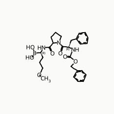 COCCC[C@H](NC(=O)C1CCCN1C(=O)[C@@H](Cc1ccccc1)NC(=O)OCc1ccccc1)B(O)O